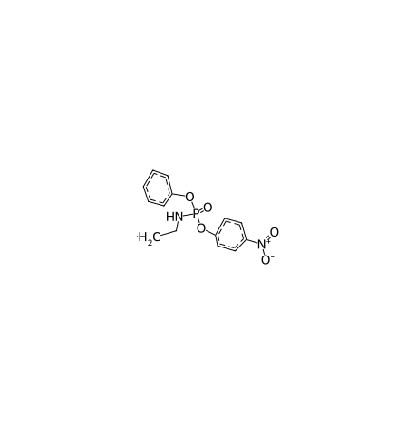 [CH2]CNP(=O)(Oc1ccccc1)Oc1ccc([N+](=O)[O-])cc1